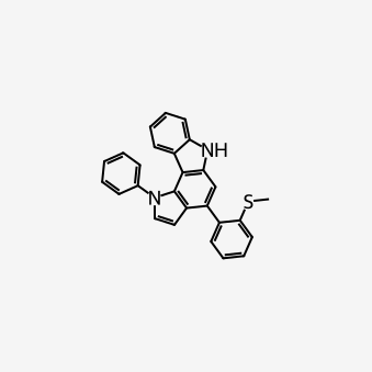 CSc1ccccc1-c1cc2[nH]c3ccccc3c2c2c1ccn2-c1ccccc1